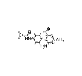 Nc1nc(N)c(-c2ccc(NC(=O)C3CC3)cc2)c(CBr)n1